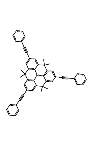 CC1(C)c2cc(C#Cc3ccccc3)cc3c2N2c4c1cc(C#Cc1ccccc1)cc4C(C)(C)c1cc(C#Cc4ccccc4)cc(c12)C3(C)C